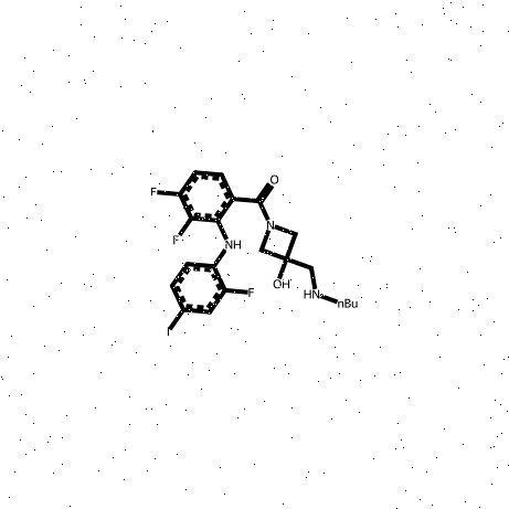 CCCCNCC1(O)CN(C(=O)c2ccc(F)c(F)c2Nc2ccc(I)cc2F)C1